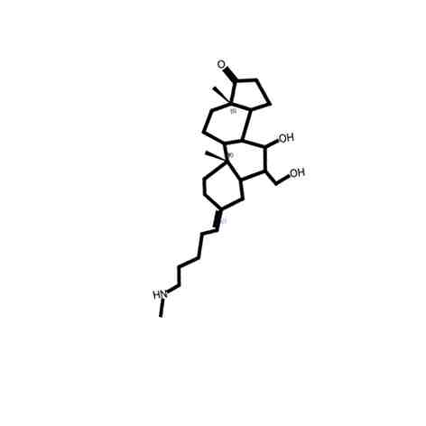 CNCCCC/C=C1\CC[C@@]2(C)C(C1)C(CO)C(O)C1C2CC[C@]2(C)C(=O)CCC12